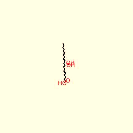 CCCCCC=CCC=CCC=CCC=CCCCC(=O)O.OO